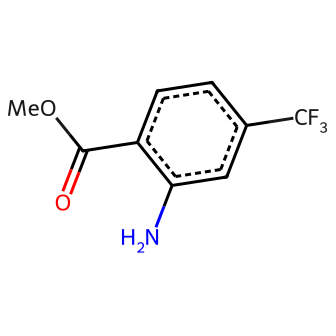 COC(=O)c1ccc(C(F)(F)F)cc1N